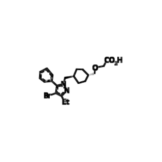 CCc1nn(C[C@H]2CC[C@H](COCC(=O)O)CC2)c(-c2ccccc2)c1Br